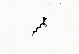 O=CCCCCC(=O)C1CC1